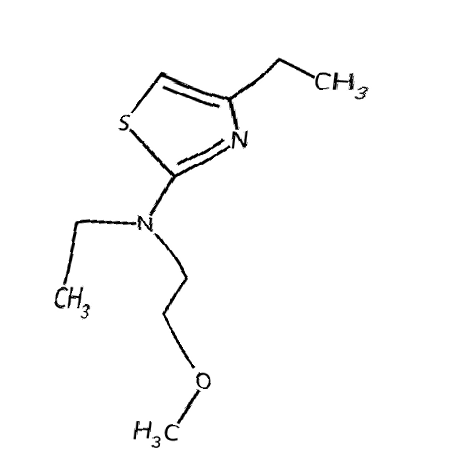 CCc1csc(N(CC)CCOC)n1